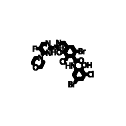 O=C(Nc1cc(Br)cc(Cl)c1O)c1c(Br)cc(/C=N\Nc2ncc(F)c(N3CCOCC3)n2)c(O)c1Cl